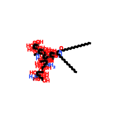 CCCCCCCCCCCCC/C=C/C(O)C(CNC(=O)CCCCCCCCCCCCCCCCC)O[C@@H]1O[C@H](CO)[C@@H](O[C@H]2O[C@@H](CO)[C@@H](O[C@H]3O[C@@H](CO)[C@@H](O)[C@@H](O[C@H]4O[C@@H](CO)[C@@H](O)[C@@H](O)[C@@H]4O)[C@@H]3NC(C)=O)[C@@H](O[C@@]3(C(=O)O)C[C@H](O)[C@@H](N)[C@H](C(O)C(O)CO[C@]4(C(=O)O)C[C@@H](O)[C@H](N)[C@@H](C(O)C(O)CO)O4)O3)[C@@H]2O)[C@H](O)[C@H]1O